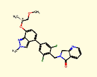 COC[C@@H](C)Oc1ccc(-c2cc(F)c(CN3Cc4ncccc4C3=O)c(F)c2)c2cn(C)nc12